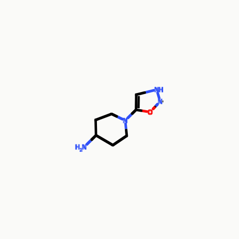 NC1CCN(C2=CN[N]O2)CC1